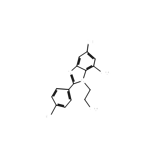 Bc1cc(OC)c2c(c1)nc(-c1ccc(C(C)C)cc1)n2CCOC